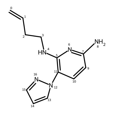 C=CCCNc1nc(N)ccc1-n1cccn1